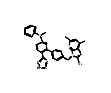 CCc1nc2c(C)cc(C)nc2n1Cc1ccc(-c2cc(N(C)c3ccccc3)ccc2-c2nn[nH]n2)cc1